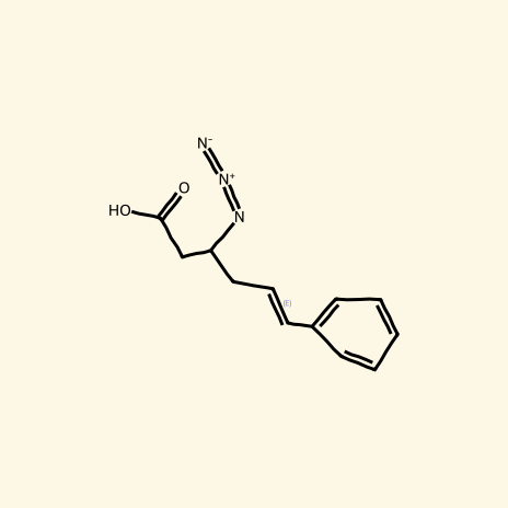 [N-]=[N+]=NC(C/C=C/c1ccccc1)CC(=O)O